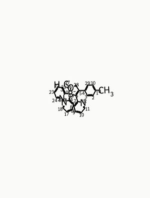 Cc1ccc(C2=C(c3ccccn3)[B-](c3ccccn3)(c3ccccn3)[O+](C)C2)cc1